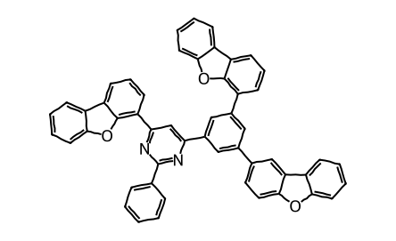 c1ccc(-c2nc(-c3cc(-c4ccc5oc6ccccc6c5c4)cc(-c4cccc5c4oc4ccccc45)c3)cc(-c3cccc4c3oc3ccccc34)n2)cc1